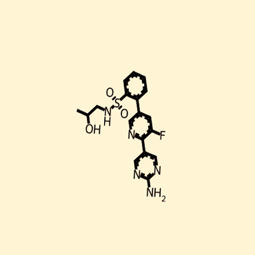 CC(O)CNS(=O)(=O)c1ccccc1-c1cnc(-c2cnc(N)nc2)c(F)c1